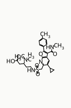 CNC(=O)c1c(-c2ccc(C)cc2)oc2nc(CS(=O)(=O)NCCC(CC(=O)O)N(C)C)c(C3CC3)cc12